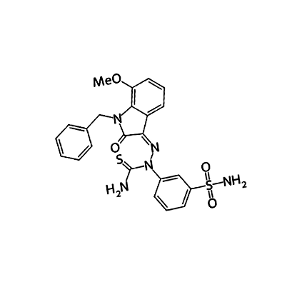 COc1cccc2c1N(Cc1ccccc1)C(=O)/C2=N\N(C(N)=S)c1cccc(S(N)(=O)=O)c1